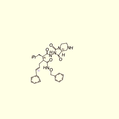 CC(C)C[C@@H](C(=O)NN1C(=O)[C@@H]2CNCCN2C1=O)C(C/C=C/c1ccccc1)C(=O)NOCc1ccccc1